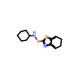 C1=c2nc(SNC3CCCCC3)sc2=CCC1